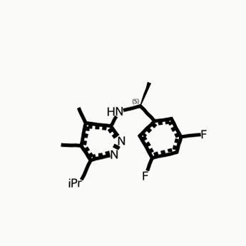 Cc1c(N[C@@H](C)c2cc(F)cc(F)c2)nnc(C(C)C)c1C